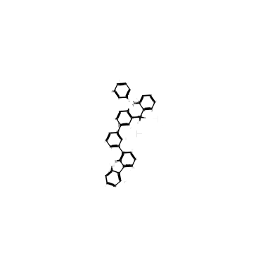 CC1(C)c2ccccc2N(c2ccccc2)c2ccc(-c3cccc(-c4cccc5c4oc4ccccc45)c3)cc21